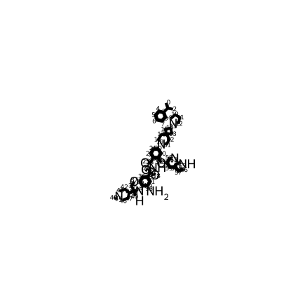 CC(C)c1ccccc1[C@@H]1CCCN1C1CC2(CCN(c3ccc(C(=O)NS(=O)(=O)c4cc(N)c5c(c4)OCC(C)(C4CCN(C)CC4)N5)c(Oc4cnc5[nH]ccc5c4)c3)CC2)C1